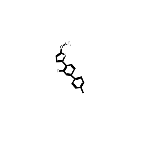 Cc1ccc(-c2ccc(-c3ccc(OC(F)(F)F)s3)c(F)c2)cc1